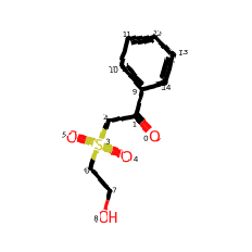 O=C(CS(=O)(=O)CCO)c1ccccc1